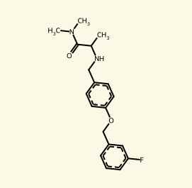 CC(NCc1ccc(OCc2cccc(F)c2)cc1)C(=O)N(C)C